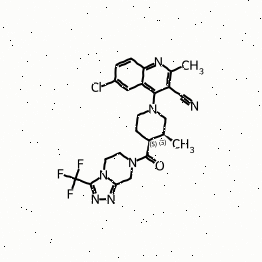 Cc1nc2ccc(Cl)cc2c(N2CC[C@H](C(=O)N3CCn4c(nnc4C(F)(F)F)C3)[C@H](C)C2)c1C#N